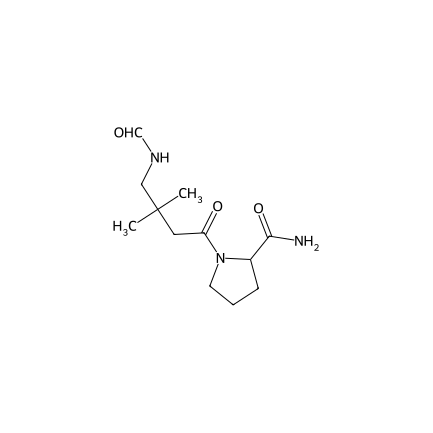 CC(C)(CNC=O)CC(=O)N1CCCC1C(N)=O